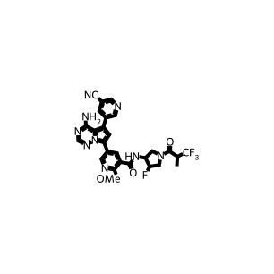 COc1ncc(-c2cc(-c3cncc(C#N)c3)c3c(N)ncnn23)cc1C(=O)NC1CN(C(=O)C(C)C(F)(F)F)CC1F